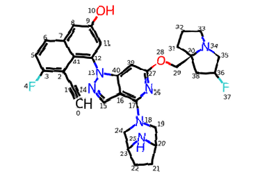 C#Cc1c(F)ccc2cc(O)cc(-n3ncc4c(N5CC6CCC(C5)N6)nc(OC[C@@]56CCCN5CC(F)C6)cc43)c12